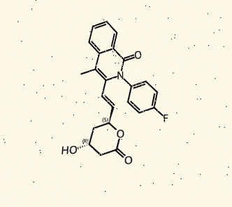 Cc1c(C=C[C@@H]2C[C@@H](O)CC(=O)O2)n(-c2ccc(F)cc2)c(=O)c2ccccc12